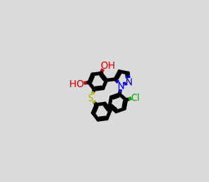 Oc1cc(O)c(-c2ccnn2-c2ccccc2Cl)cc1Sc1ccccc1